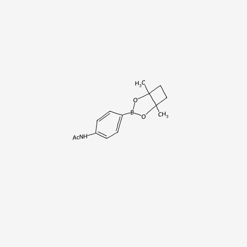 CC(=O)Nc1ccc(B2OC3(C)CCC3(C)O2)cc1